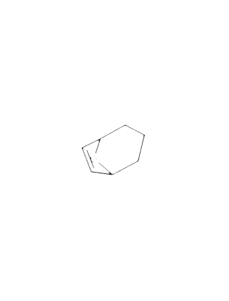 C1=CC2CCCC1O2